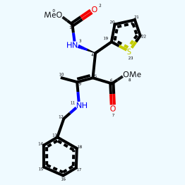 COC(=O)N[C@H](/C(C(=O)OC)=C(\C)NCc1ccccc1)c1cccs1